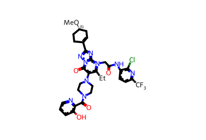 CCc1c(N2CCN(C(=O)c3ncccc3O)CC2)c(=O)n2nc(C3=CC[C@@H](OC)CC3)nc2n1CC(=O)Nc1ccc(C(F)(F)F)nc1Cl